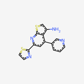 Nc1csc2nc(-c3nccs3)cc(-c3cccnc3)c12